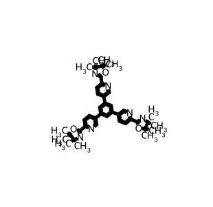 CC1(C)N=C(c2ccc(-c3cc(-c4ccc(C5=NC(C)(C)C(C)(C)O5)nc4)cc(-c4ccc(C5=NC(C)(C)C(C)(C)O5)nc4)c3)cn2)OC1(C)C